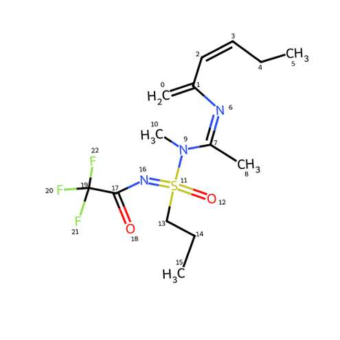 C=C(/C=C\CC)/N=C(/C)N(C)S(=O)(CCC)=NC(=O)C(F)(F)F